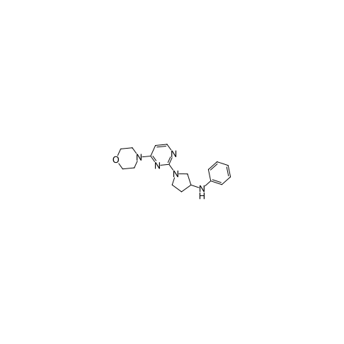 c1ccc(NC2CCN(c3nccc(N4CCOCC4)n3)C2)cc1